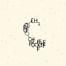 C=CCC1CCC(C(F)(F)OC2CCC(c3ccc(C(F)(F)Oc4cc(F)c(OC(F)=C(F)F)c(F)c4)c(F)c3)CC2)OC1